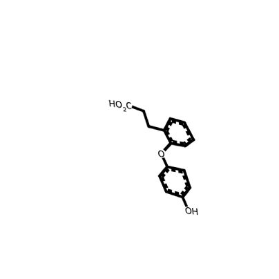 O=C(O)CCc1ccccc1Oc1ccc(O)cc1